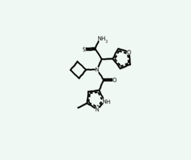 Cc1cc(C(=O)N(C2CCC2)C(C(N)=S)c2ccoc2)[nH]n1